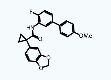 COc1ccc(-c2ccc(F)c(NC(=O)C3(c4ccc5c(c4)OCO5)CC3)c2)cc1